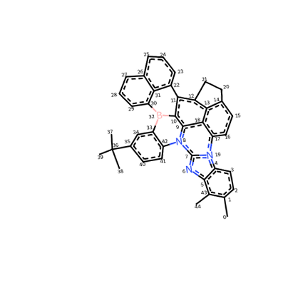 Cc1ccc2c(nc3n4c5c6c(c7c8c(ccc(c85)n23)CC7)-c2cccc3cccc(c23)B6c2cc(C(C)(C)C)ccc2-4)c1C